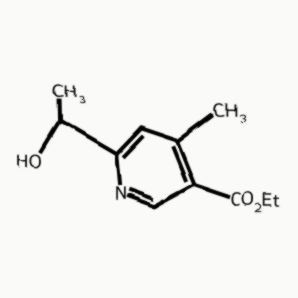 CCOC(=O)c1cnc(C(C)O)cc1C